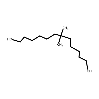 CC(C)(CCCCCO)CCCCCCO